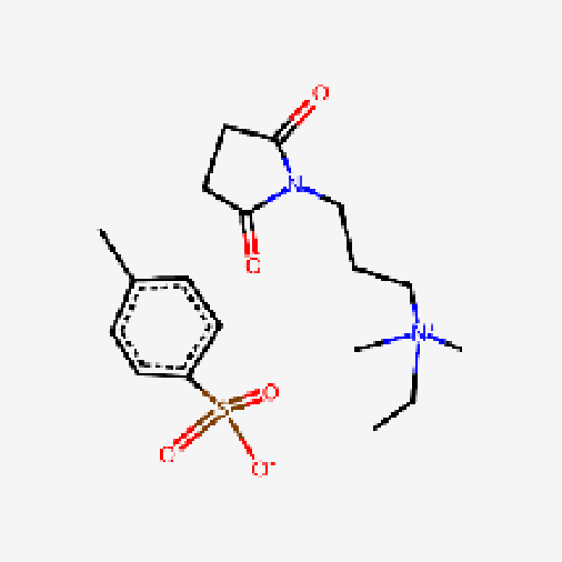 CC[N+](C)(C)CCCN1C(=O)CCC1=O.Cc1ccc(S(=O)(=O)[O-])cc1